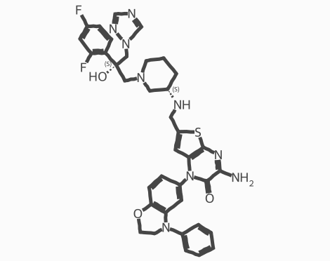 Nc1nc2sc(CN[C@H]3CCCN(C[C@](O)(Cn4cncn4)c4ccc(F)cc4F)C3)cc2n(-c2ccc3c(c2)N(c2ccccc2)CCO3)c1=O